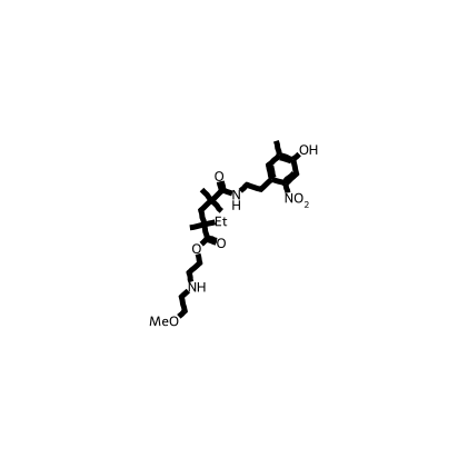 CCC(C)(CC(C)(C)C(=O)NCCc1cc(C)c(O)cc1[N+](=O)[O-])C(=O)OCCNCCOC